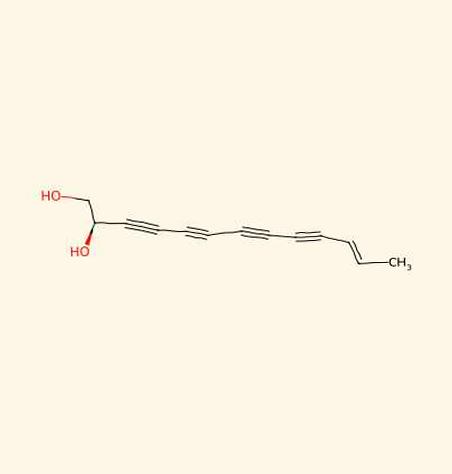 C/C=C/C#CC#CC#CC#C[C@@H](O)CO